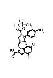 CC(C)(C)OC(=O)N1CC(=Cn2c(C(=O)O)cc3c(Cl)cc(Cl)cc32)C(=O)N1c1ccc(N)cc1